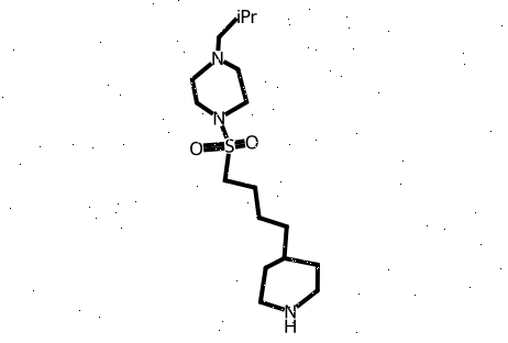 CC(C)CN1CCN(S(=O)(=O)CCCCC2CCNCC2)CC1